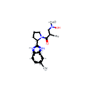 CCCCC(CN(O)C=O)C(=O)N1CCCC1c1nc2ccc(C#N)cc2[nH]1